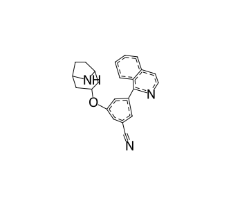 N#Cc1cc(OC2CC3CCC(C2)N3)cc(-c2nccc3ccccc23)c1